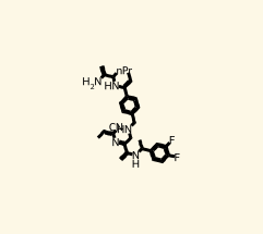 C=C(NC(C)c1ccc(F)c(F)c1)/C(CNCc1ccc(/C(=C/C)NC(CCC)C(=C)N)cc1)=N/C(C#N)=C\C